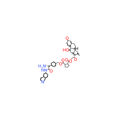 C[C@@H]1CC2[C@@H]3CCC4=CC(=O)C=C[C@]4(C)C3[C@@H](O)C[C@]2(C)[C@H]1C(=O)COC(=O)C1CCCC1C(=O)OCc1ccc([C@@H](CN)C(=O)Nc2ccc3cnccc3c2)cc1